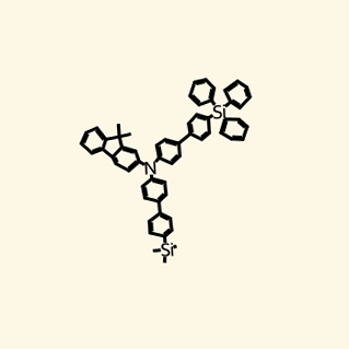 CC1(C)c2ccccc2-c2ccc(N(c3ccc(-c4ccc([Si](C)(C)C)cc4)cc3)c3ccc(-c4ccc([Si](c5ccccc5)(c5ccccc5)c5ccccc5)cc4)cc3)cc21